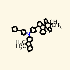 CC1(C)c2ccccc2-c2ccc(N(c3ccc(-c4ccccc4)cc3)c3ccc(-c4cccc5c4-c4ccccc4C54c5ccccc5C(C)(C)c5ccccc54)cc3)cc21